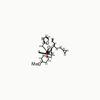 C=C/C=C(\C=C1/CCC2(CCC(OC)CC2)C12NC(=C)N(Cc1ncco1)C2=O)CCC1CC1